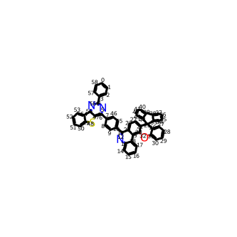 c1ccc(-c2nc(-c3ccc(-c4nc5ccccc5c5c6c(ccc45)C4(c5ccccc5O6)c5ccccc5-c5ccccc54)cc3)c3sc4ccccc4c3n2)cc1